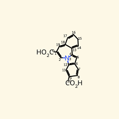 O=C(O)C1=Cn2c(cc3ccc(C(=O)O)cc32)C2=CCC=CC2=C1